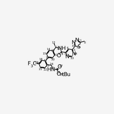 Cc1nnc(-c2cc(C(=O)N[C@H](C)c3ccc(-c4cc(C(F)(F)F)ccc4CNC(=O)OC(C)(C)C)cc3)ncn2)s1